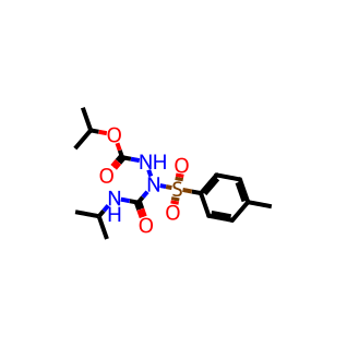 Cc1ccc(S(=O)(=O)N(NC(=O)OC(C)C)C(=O)NC(C)C)cc1